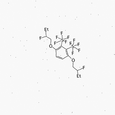 CCC(F)COc1ccc(OCC(F)CC)c(S(F)(F)(F)(F)F)c1S(F)(F)(F)(F)F